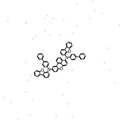 c1ccc(-c2ccc(N(c3ccc4c(c3)-c3cccc5c(N(c6ccc(-c7ccccc7)cc6)c6cccc7c6oc6ccccc67)ccc(c35)O4)c3cccc4c3oc3ccccc34)cc2)cc1